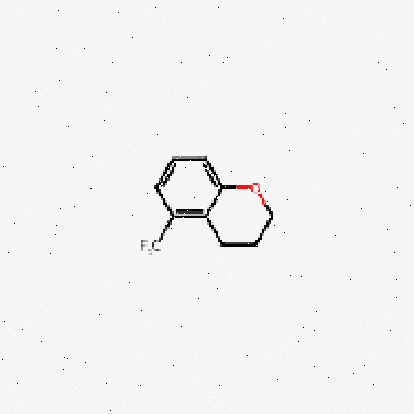 FC(F)(F)c1cccc2c1[CH]CCO2